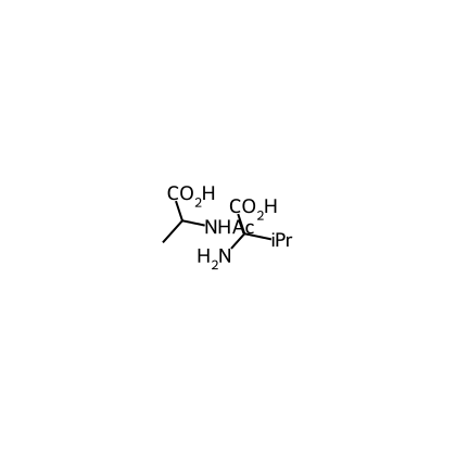 CC(=O)NC(C)C(=O)O.CC(C)C(N)C(=O)O